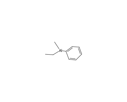 C[CH2][Al]([CH3])[c]1ccccc1